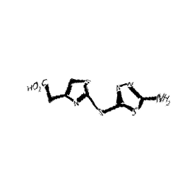 Nc1nnc(Sc2nc(CC(=O)O)cs2)s1